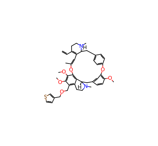 C=CC1=C2/C=C(\C)Oc3c(OC)c(OC)c(COCc4ccsc4)c4c3[C@H](Cc3ccc(OC)c(c3)Oc3ccc(cc3)C[C@@H]2N(C)CC1)N(C)CC4